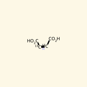 O=C(O)/[13CH]=[13CH]\C(=O)O